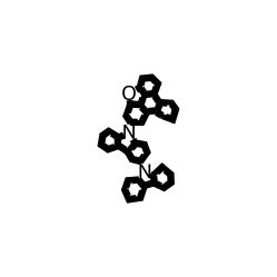 c1ccc2c(c1)c1cccc3oc4cc(-n5c6ccccc6c6cc(-n7c8ccccc8c8ccccc87)ccc65)cc2c4c31